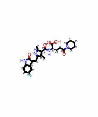 Cc1[nH]c(/C=C2\C(=O)Nc3ccc(F)cc32)c(C)c1C(=O)N[C@H](CCC(=O)N1CCCCC1)C(=O)O